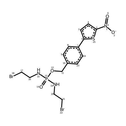 O=[N+]([O-])c1ccc(-c2ccc(COP(=O)(NCCBr)NCCBr)cc2)s1